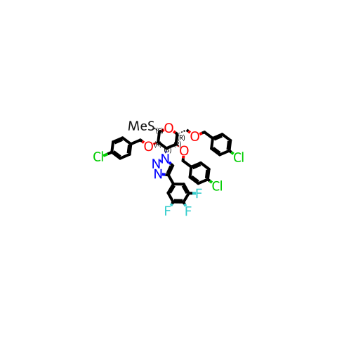 CS[C@@H]1O[C@H](COCc2ccc(Cl)cc2)[C@H](OCc2ccc(Cl)cc2)[C@H](n2cc(-c3cc(F)c(F)c(F)c3)nn2)[C@H]1OCc1ccc(Cl)cc1